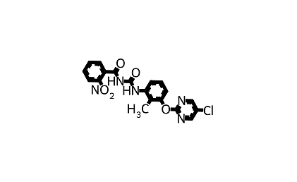 Cc1c(NC(=O)NC(=O)c2ccccc2[N+](=O)[O-])cccc1Oc1ncc(Cl)cn1